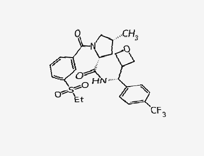 CCS(=O)(=O)c1cccc(C(=O)N2C[C@H](C)C[C@@H]2C(=O)N[C@@H](c2ccc(C(F)(F)F)cc2)C2COC2)c1